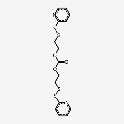 O=C(OCCSSc1ccccn1)OCCSSc1ccccn1